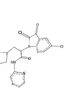 O=C1C(=O)N(C(CC2CCCC2)C(=O)Nc2cnccn2)c2ccc(Cl)cc21